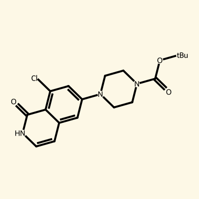 CC(C)(C)OC(=O)N1CCN(c2cc(Cl)c3c(=O)[nH]ccc3c2)CC1